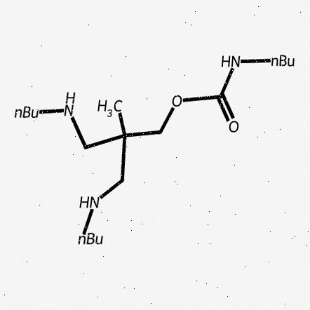 CCCCNCC(C)(CNCCCC)COC(=O)NCCCC